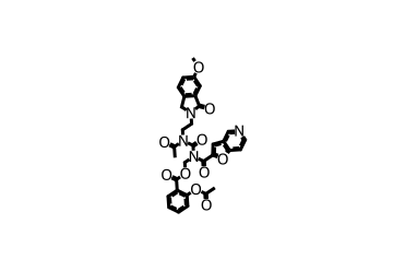 COc1ccc2c(c1)C(=O)N(CCN(C(C)=O)C(=O)N(COC(=O)c1ccccc1OC(C)=O)C(=O)c1cc3cnccc3o1)C2